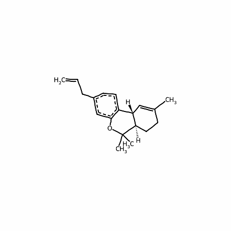 C=CCc1ccc2c(c1)OC(C)(C)[C@@H]1CCC(C)=C[C@@H]21